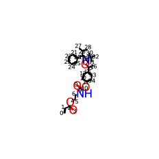 C=CC(=O)OCCNC(=O)Oc1ccc(C(C)ON(C(c2ccccc2)C(C)C)C(C)(C)C)cc1